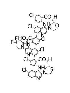 O=C(O)c1cc(Cl)ccc1Nc1c(N2CCOCC2)cnc2c(-c3c(Cl)ccc(Nc4c(N5CCC(F)(F)CC5)cnc5c(-c6c(Cl)ccc(Nc7c(N8CCSCC8)cnc8ccc(Cl)cc78)c6C(=O)O)cc(Cl)cc45)c3C(=O)O)cc(Cl)cc12